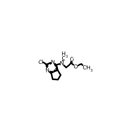 CCOC(=O)CN(C)c1nc(Cl)nc2c1CCC2